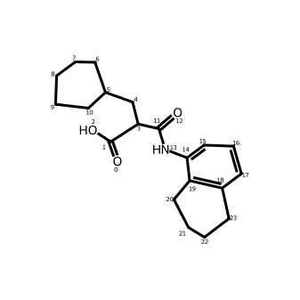 O=C(O)C(CC1CCCCC1)C(=O)Nc1cccc2c1CCCC2